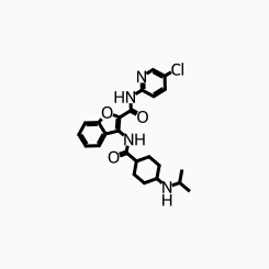 CC(C)NC1CCC(C(=O)Nc2c(C(=O)Nc3ccc(Cl)cn3)oc3ccccc23)CC1